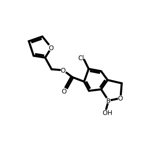 O=C(OCc1ccco1)c1cc2c(cc1Cl)COB2O